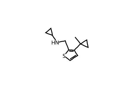 CC1(c2ccsc2CNC2CC2)CC1